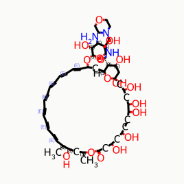 C[C@H]1C[C@H](O)[C@@H](C)/C=C/C=C/C=C/C=C/C=C/C=C/C=C/C(O[C@@H]2OC[C@@H](O)[C@H](N)[C@@H]2O)C[C@@H]2OC(O)(CC(O)CC(O)C(O)CCC(O)CC(O)CC(=O)O1)C[C@H](O)[C@H]2C(=O)NCCN1CCOCC1